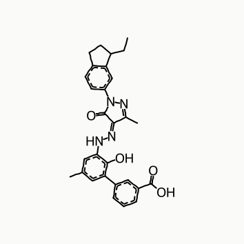 CCC1CCc2ccc(N3N=C(C)C(=NNc4cc(C)cc(-c5cccc(C(=O)O)c5)c4O)C3=O)cc21